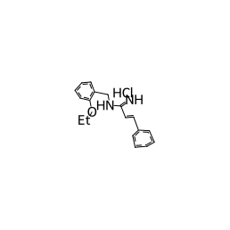 CCOc1ccccc1CNC(=N)/C=C/c1ccccc1.Cl